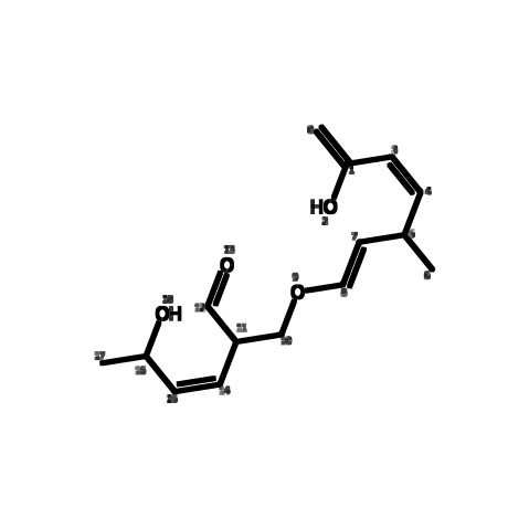 C=C(O)/C=C\C(C)/C=C/OCC(C=O)/C=C\C(C)O